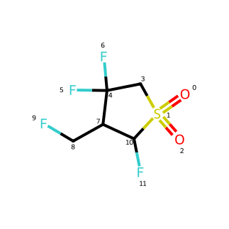 O=S1(=O)CC(F)(F)C(CF)C1F